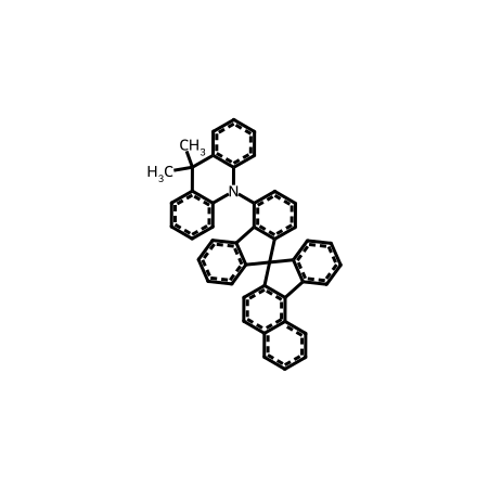 CC1(C)c2ccccc2N(c2cccc3c2-c2ccccc2C32c3ccccc3-c3c2ccc2ccccc32)c2ccccc21